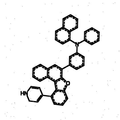 C1=CC(c2cccc3oc4c(-c5cccc(N(c6ccccc6)c6cccc7ccccc67)c5)cc5ccccc5c4c23)=CCN1